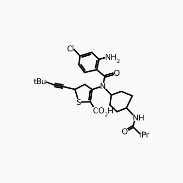 CC(C)C(=O)NC1CCC(N(C(=O)c2ccc(Cl)cc2N)C2=C(C(=O)O)SC(C#CC(C)(C)C)C2)CC1